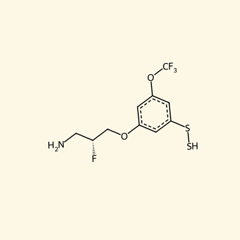 NC[C@@H](F)COc1cc(OC(F)(F)F)cc(SS)c1